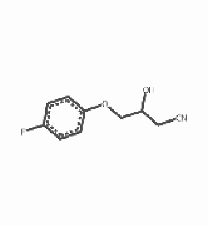 N#CCC(O)COc1ccc(F)cc1